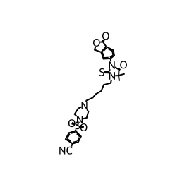 CC1(C)C(=O)N(c2ccc3c(c2)COC3=O)C(=S)N1CCCCCCN1CCN(S(=O)(=O)c2ccc(C#N)cc2)CC1